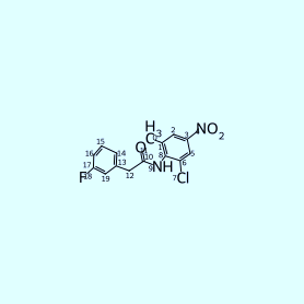 Cc1cc([N+](=O)[O-])cc(Cl)c1NC(=O)Cc1cccc(F)c1